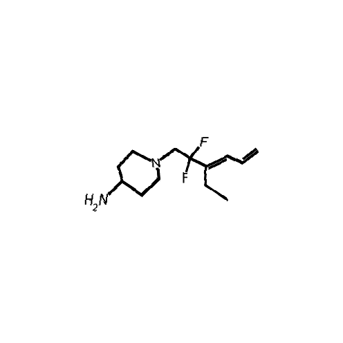 C=C/C=C(\CC)C(F)(F)CN1CCC(N)CC1